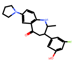 CC1Nc2ccc(N3CCCC3)cc2C(=O)CC1c1cc(O)cc(F)c1